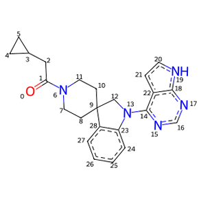 O=C(CC1CC1)N1CCC2(CC1)CN(c1ncnc3[nH]ccc13)c1ccccc12